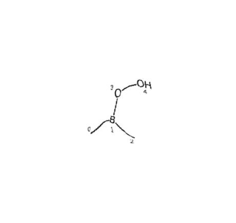 CB(C)OO